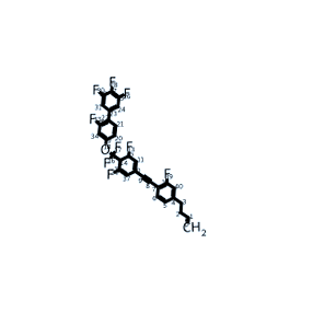 C=CCCc1ccc(C#CC2=CC(F)C(C(F)(F)Oc3ccc(-c4cc(F)c(F)c(F)c4)c(F)c3)C(F)=C2)c(F)c1